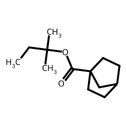 CCC(C)(C)OC(=O)C12CCC(CC1)C2